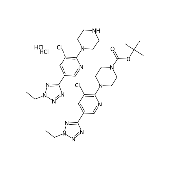 CCn1nnc(-c2cnc(N3CCN(C(=O)OC(C)(C)C)CC3)c(Cl)c2)n1.CCn1nnc(-c2cnc(N3CCNCC3)c(Cl)c2)n1.Cl.Cl